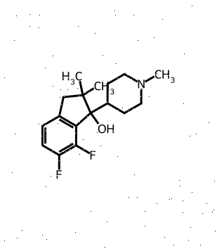 CN1CCC(C2(O)c3c(ccc(F)c3F)CC2(C)C)CC1